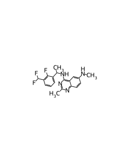 CNc1ccc2nc(C)nc(NC(C)c3cccc(C(F)F)c3F)c2c1